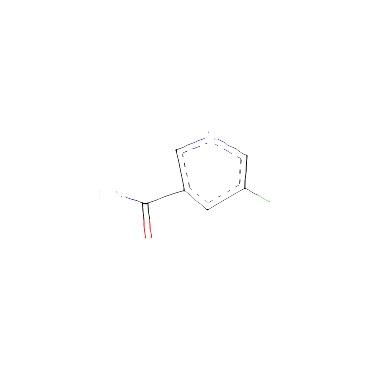 NC(=O)c1cncc(Cl)c1